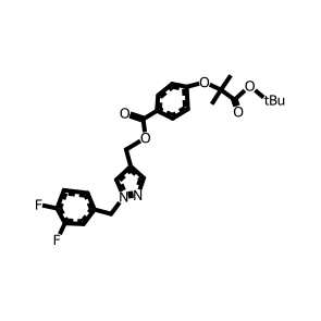 CC(C)(C)OC(=O)C(C)(C)Oc1ccc(C(=O)OCc2cnn(Cc3ccc(F)c(F)c3)c2)cc1